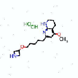 COc1cc(CCCCCOC2CNC2)nc2c1CCCN2.Cl.Cl